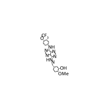 COc1ccc(C=NNc2ncnc3c(Nc4ccc(OC(F)(F)F)cc4)ncnc23)cc1O